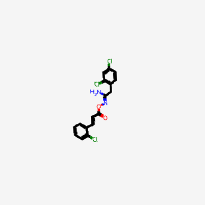 N/C(Cc1ccc(Cl)cc1Cl)=N\OC(=O)/C=C/c1ccccc1Cl